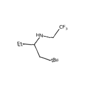 CCC(CC(C)(C)C)NCC(F)(F)F